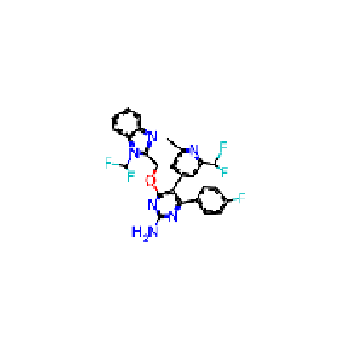 Cc1cc(-c2c(OCc3nc4ccccc4n3C(F)F)nc(N)nc2-c2ccc(F)cc2)cc(C(F)F)n1